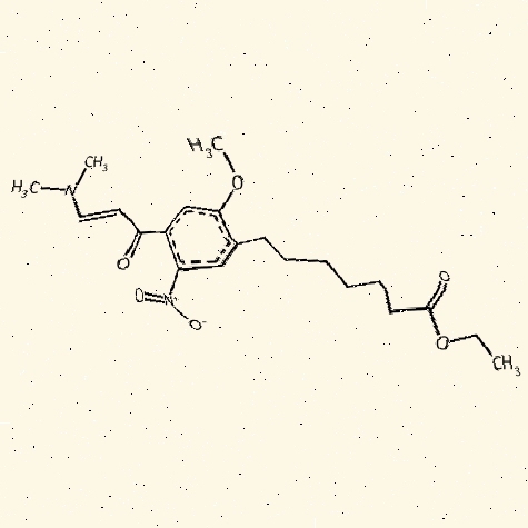 CCOC(=O)CCCCCCc1cc([N+](=O)[O-])c(C(=O)/C=C/N(C)C)cc1OC